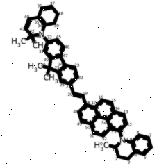 CC1CCc2ccccc2N1c1ccc2ccc3c(/C=C/c4ccc5c(c4)C(C)(C)c4cc(N6C7=C(C=CCC7)C=CC6(C)C)ccc4-5)ccc4ccc1c2c43